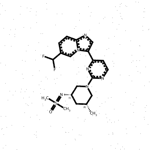 C[C@@H]1C[C@H](N=S(C)(C)=O)CN(c2nccc(-c3cnc4ccc(C(F)F)cn34)n2)C1